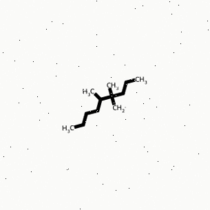 [CH2]C(C)(CCC)C(C)CCCC